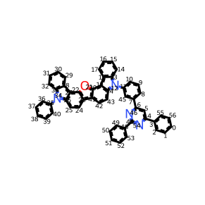 c1ccc(-c2cc(-c3cccc(-n4c5ccccc5c5c6oc7c(ccc8c7c7ccccc7n8-c7ccccc7)c6ccc54)c3)nc(-c3ccccc3)n2)cc1